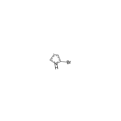 Brc1c[c]c[nH]1